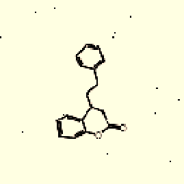 O=C1CC(CCc2ccccc2)c2ccccc2O1